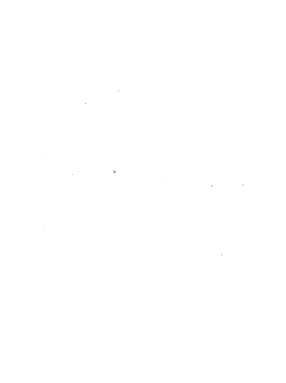 C1CCCCC2CCCCCCCCC(CCC1)CCCCCOCC2